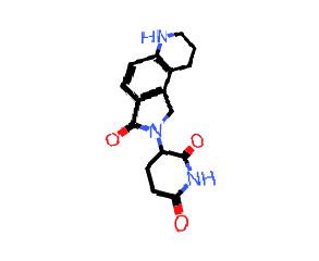 O=C1CCC(N2Cc3c(ccc4c3CCCN4)C2=O)C(=O)N1